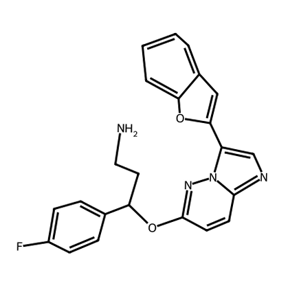 NCCC(Oc1ccc2ncc(-c3cc4ccccc4o3)n2n1)c1ccc(F)cc1